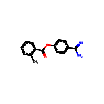 Cc1ccccc1C(=O)Oc1ccc(C(=N)N)cc1